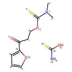 CN(C)C(=S)OCCC(=O)c1ccco1.NC(O)=S